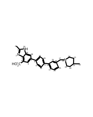 Cc1nc2c(C(=O)O)cc(-c3ccc(-c4cccc(CN5CCC(C)CC5)c4)cc3)cc2[nH]1